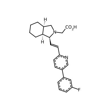 O=C(O)CN1C[C@@H]2CCCC[C@@H]2[C@@H]1/C=C/c1ccc(-c2cccc(F)c2)cn1